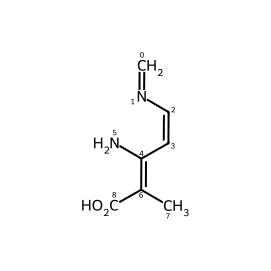 C=N/C=C\C(N)=C(/C)C(=O)O